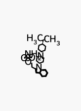 CC(C)[C@H]1CC[C@H](N2CCC(n3c(CCOS(N)(=O)=O)cc4ccccc43)CC2)CC1